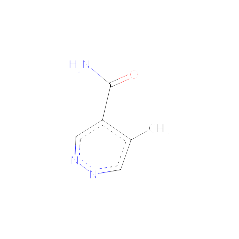 Cc1cnncc1C(N)=O